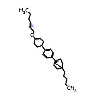 CCC/C=C/COC1CCC(c2ccc(C34CCC(CCCCC)(CC3)CC4)cc2)CC1